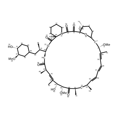 CO[C@H]1CC2CC[C@@H](C)[C@@](O)(O2)C(=O)C(=O)N2CCCC[C@H]2C(=O)O[C@H]([C@H](C)CC2CC[C@@H](O)[C@H](OC)C2)CC(=O)[C@H](C)/C=C(\C)[C@@H](O)[C@@H](OC)C(=O)[C@H](C)C[C@H](C)/C=C/C=C/C=C/1C